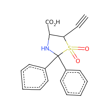 C#CC1C(C(=O)O)NC(c2ccccc2)(c2ccccc2)S1(=O)=O